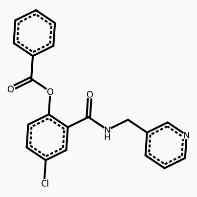 O=C(Oc1ccc(Cl)cc1C(=O)NCc1cccnc1)c1ccccc1